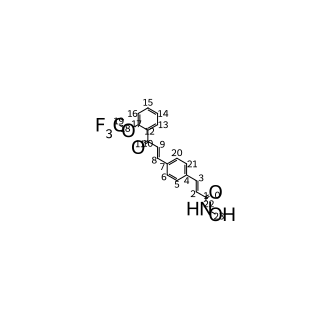 O=C(/C=C/c1ccc(/C=C/C(=O)c2ccccc2OC(F)(F)F)cc1)NO